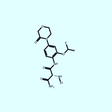 CCN[C@H](C(N)=O)C(=O)Nc1ccc(N2CCOCC2=O)cc1OC(F)F